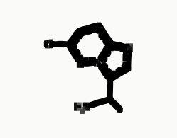 CC(N)c1cnc2ccc(Cl)nn12